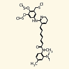 Cc1ccc(N(C)C(=O)/C=C/C=C/C=C/C2=CCCN=C2Nc2cc(CSCl)c(OSCl)c(OSCl)c2)c(N(I)I)c1